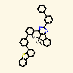 CC1(C)c2ccccc2-c2nc(-c3cccc(-c4ccccc4)c3)nc(-c3cccc(-c4cccc(-c5cccc6c5sc5ccccc56)c4)c3)c21